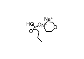 C1COCC[N-]1.CCCS(=O)(=O)O.[Na+]